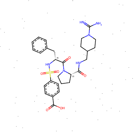 N=C(N)N1CCC(CNC(=O)[C@@H]2CCCN2C(=O)[C@@H](Cc2ccccc2)NS(=O)(=O)c2ccc(C(=O)O)cc2)CC1